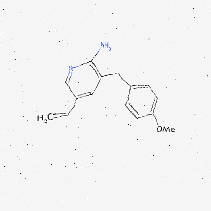 C=Cc1cnc(N)c(Cc2ccc(OC)cc2)c1